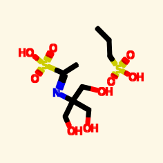 CC(=NC(CO)(CO)CO)S(=O)(=O)O.CCCS(=O)(=O)O